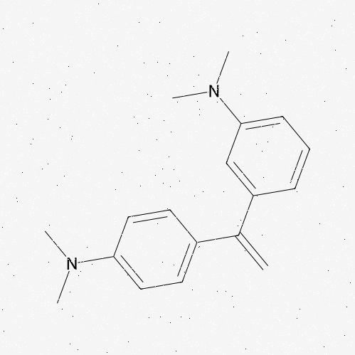 C=C(c1ccc(N(C)C)cc1)c1cccc(N(C)C)c1